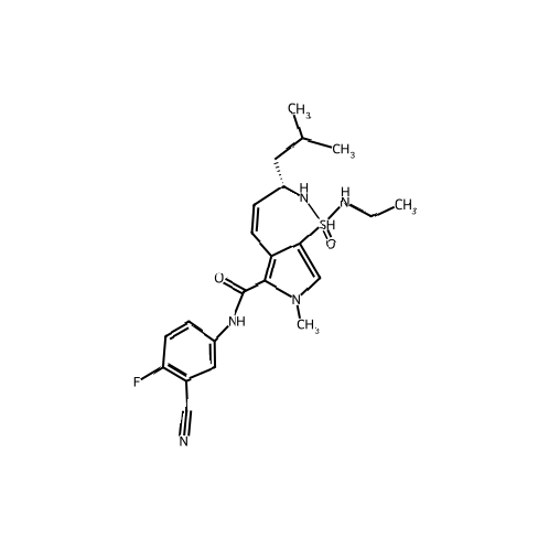 CCN[SH]1(=O)N[C@@H](CC(C)C)C=Cc2c1cn(C)c2C(=O)Nc1ccc(F)c(C#N)c1